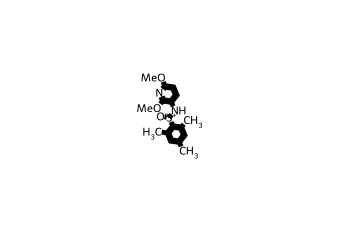 COc1ccc(N[S+]([O-])c2c(C)cc(C)cc2C)c(OC)n1